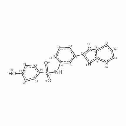 O=S(=O)(Nc1cc(-c2nc3ncccc3o2)ccn1)c1ccc(O)cc1